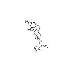 C=C(C)CCCC1CCC2C3CCC4=CC(=C)CCC4(S)C3CCC12C